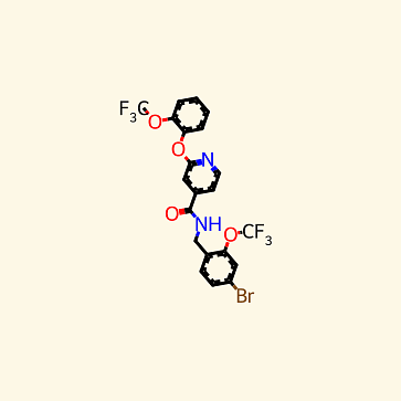 O=C(NCc1ccc(Br)cc1OC(F)(F)F)c1ccnc(Oc2ccccc2OC(F)(F)F)c1